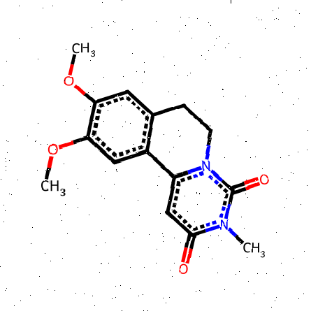 COc1cc2c(cc1OC)-c1cc(=O)n(C)c(=O)n1CC2